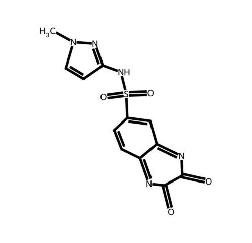 Cn1ccc(NS(=O)(=O)c2ccc3c(c2)=NC(=O)C(=O)N=3)n1